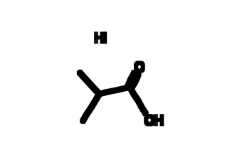 CC(C)C(=O)O.I